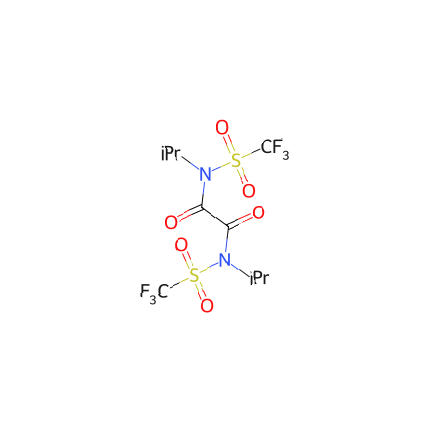 CC(C)N(C(=O)C(=O)N(C(C)C)S(=O)(=O)C(F)(F)F)S(=O)(=O)C(F)(F)F